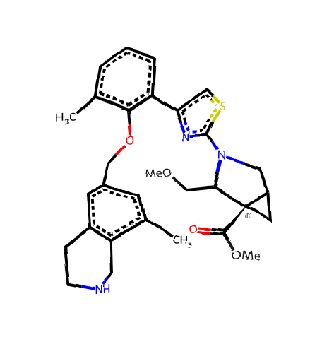 COCC1N(c2nc(-c3cccc(C)c3OCc3cc(C)c4c(c3)CCNC4)cs2)CC2C[C@@]21C(=O)OC